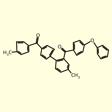 Cc1ccc(C(=O)c2ccc(-c3ccc(C)cc3C(=O)c3ccc(Oc4ccccc4)cc3)cc2)cc1